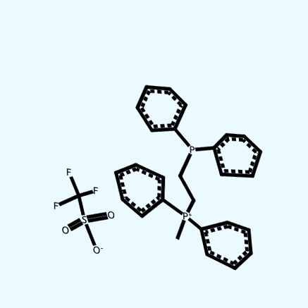 C[P+](CCP(c1ccccc1)c1ccccc1)(c1ccccc1)c1ccccc1.O=S(=O)([O-])C(F)(F)F